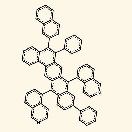 c1ccc(-c2ccc3c(-c4cccc5cnccc45)c4cc5c(cc4c(-c4cccc6cnccc46)c3c2)c(-c2ccccc2)c(-c2ccc3ccccc3c2)c2ccccc25)cc1